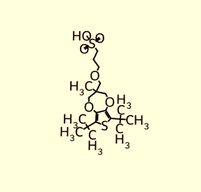 CC1(COCCCS(=O)(=O)O)COc2c(C(C)(C)C)sc(C(C)(C)C)c2OC1